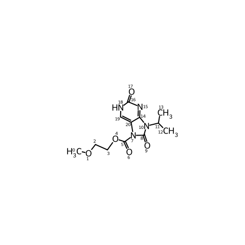 COCCOC(=O)n1c(=O)n(C(C)C)c2nc(=O)[nH]cc21